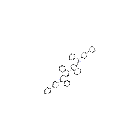 C(=C(/c1ccccc1)c1ccc(-c2ccccc2)cc1)/c1ccc(-c2ccc(/C=C(\c3ccccc3)c3ccc(-c4ccccc4)cc3)c3ccccc23)c2ccccc12